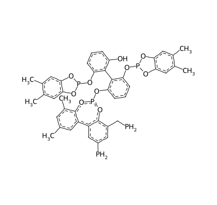 Cc1cc(C)c2op(Oc3cccc(OP4Oc5cc(C)c(C)cc5O4)c3-c3c(O)cccc3OP3Oc4cc(C)c(C)cc4O3)oc3c(CP)cc(P)cc3c2c1